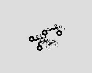 CC(OC(=O)CN1Cc2cc(OCCCC(=O)N(C)C3CCCCC3)ccc2N=C1N(C(=O)Cc1ccccc1)C(=O)Cc1ccccc1)C(C)(C)C